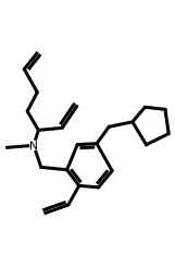 C=CCCC(C=C)N(C)Cc1cc(CC2CCCC2)ccc1C=C